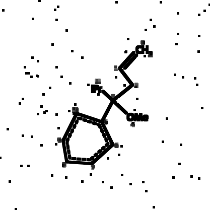 C=CCC(OC)(c1ccccc1)C(C)C